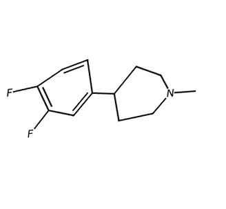 CN1CCC(c2ccc(F)c(F)c2)CC1